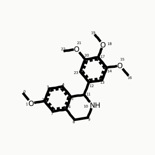 COc1ccc2c(c1)CCNC2c1cc(OC)c(OC)c(OC)c1